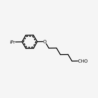 CC(C)c1ccc(OCCCCCC=O)cc1